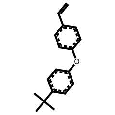 C=Cc1ccc(Oc2ccc(C(C)(C)C)cc2)cc1